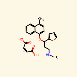 CNCCC(Oc1ccc(C)c2ccccc12)c1cccs1.O=C(O)/C=C\C(=O)O